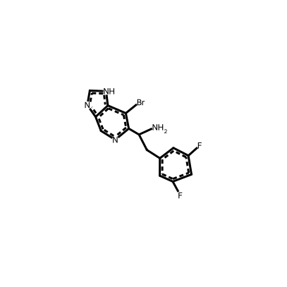 NC(Cc1cc(F)cc(F)c1)c1ncc2nc[nH]c2c1Br